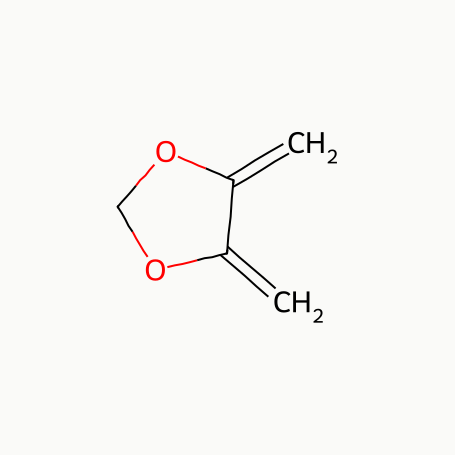 C=C1OCOC1=C